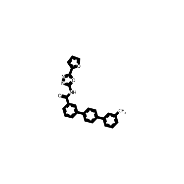 O=C(Nc1nnc(-c2ccco2)o1)c1cccc(-c2ccc(-c3cccc(C(F)(F)F)c3)cc2)c1